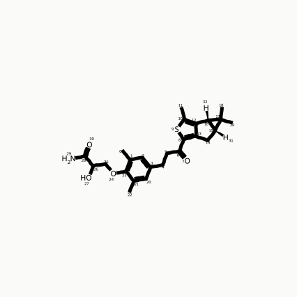 Cc1cc(CCC(=O)c2sc(C)c3c2C[C@@H]2[C@H]3C2(C)C)cc(C)c1OCC(O)C(N)=O